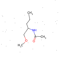 CCCC(COC)NC(C)=O